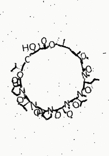 CC[C@H](C)[C@H]1C(=O)N(C)[C@@H](C(C)C)C(=O)N(C)[C@@H](COC)C(=O)N2CCC[C@H]2C(=O)N(C)[C@@H](C(C)C)C(=O)N2CCC[C@H]2C(=O)O[C@H](C(C)C)CCC[C@@H](O)[C@@H](C)C(=O)O[C@H](C)[C@@H](C)C/C=C(C)/C(OC)=C\C(=O)N1C